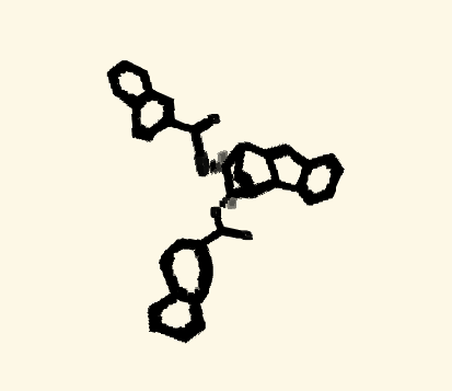 O=C(O[C@@H]1C2CC(C3c4ccccc4CC32)[C@@H]1OC(=O)c1ccc2ccccc2c1)c1ccc2ccccc2c1